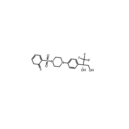 O=S(=O)(C1=CC=CCC1=S)N1CCN(c2ccc([C@](O)(CO)C(F)(F)F)cc2)CC1